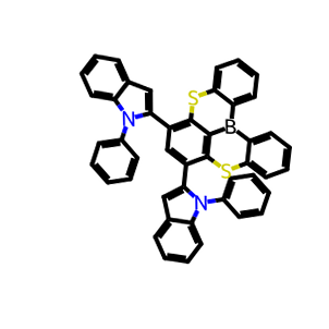 c1ccc(-n2c(-c3cc(-c4cc5ccccc5n4-c4ccccc4)c4c5c3Sc3ccccc3B5c3ccccc3S4)cc3ccccc32)cc1